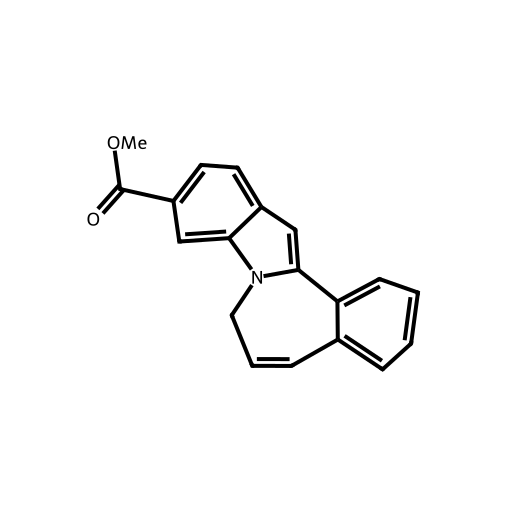 COC(=O)c1ccc2cc3n(c2c1)CC=Cc1ccccc1-3